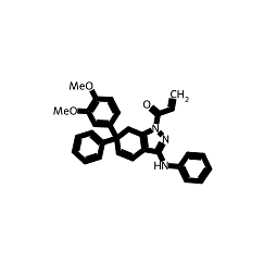 C=CC(=O)n1nc(Nc2ccccc2)c2c1CC(c1ccccc1)(c1ccc(OC)c(OC)c1)C=C2